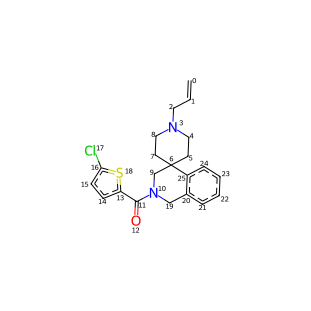 C=CCN1CCC2(CC1)CN(C(=O)c1ccc(Cl)s1)Cc1ccccc12